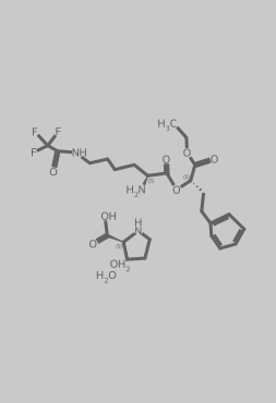 CCOC(=O)[C@H](CCc1ccccc1)OC(=O)[C@@H](N)CCCCNC(=O)C(F)(F)F.O.O.O=C(O)[C@@H]1CCCN1